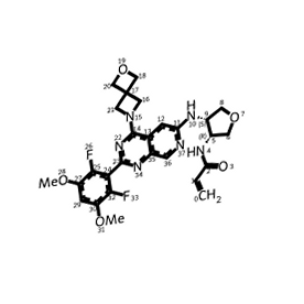 C=CC(=O)N[C@H]1COC[C@H]1Nc1cc2c(N3CC4(COC4)C3)nc(-c3c(F)c(OC)cc(OC)c3F)nc2cn1